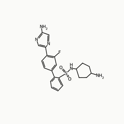 Nc1cnc(-c2ccc(-c3ccccc3S(=O)(=O)NC3CCC(N)CC3)cc2F)cn1